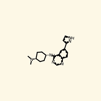 CN(C)[C@H]1CC[C@H](Nc2ncnc3ccc(-c4cc[nH]n4)cc23)CC1